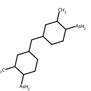 CC1CC(CC2CCC([AsH2])C(C)C2)CCC1[AsH2]